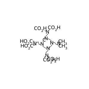 CN(C)CCN1CCN(CCN(CC(=O)O)CC(=O)O)CCN(CCN(CC(=O)O)CC(=O)O)CCN(CCN(CC(=O)O)CC(=O)O)CC1